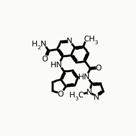 Cc1cc(C(=O)Nc2ccnn2C)cc2c(Nc3cccc4c3CCO4)c(C(N)=O)cnc12